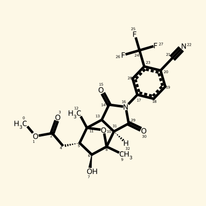 COC(=O)C[C@H]1[C@H](O)C2(C)OC1(C)C1C(=O)N(c3ccc(C#N)c(C(F)(F)F)c3)C(=O)[C@H]12